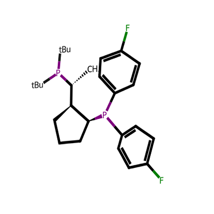 C[C@H]([C@@H]1CCC[C@@H]1P(c1ccc(F)cc1)c1ccc(F)cc1)P(C(C)(C)C)C(C)(C)C